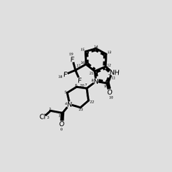 O=C(CCl)N1CCC(n2c(=O)[nH]c3cccc(C(F)(F)F)c32)CC1